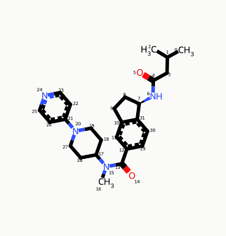 CC(C)CC(=O)N[C@@H]1CCc2cc(C(=O)N(C)C3CCN(c4ccncc4)CC3)ccc21